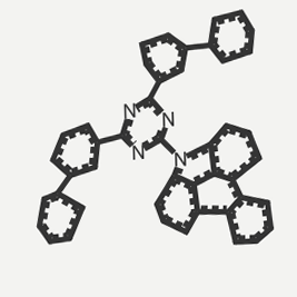 c1ccc(-c2cccc(-c3nc(-c4cccc(-c5ccccc5)c4)nc(-n4c5cccc6c7ccccc7c7cccc4c7c65)n3)c2)cc1